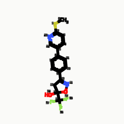 CSc1ccc(-c2ccc(C3=NOC(O)(C(F)(F)F)C3)cc2)cn1